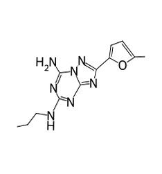 CCCNc1nc(N)n2nc(-c3ccc(C)o3)nc2n1